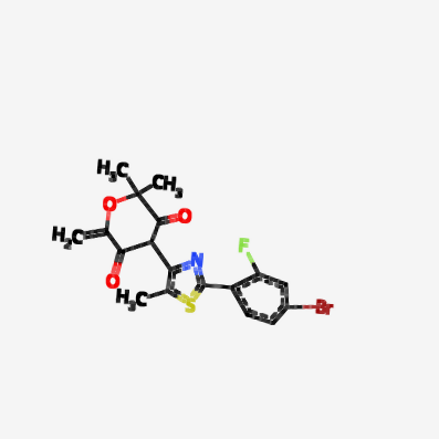 C=C1OC(C)(C)C(=O)C(c2nc(-c3ccc(Br)cc3F)sc2C)C1=O